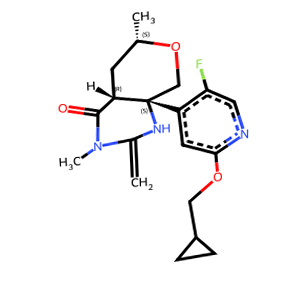 C=C1N[C@@]2(c3cc(OCC4CC4)ncc3F)CO[C@@H](C)C[C@H]2C(=O)N1C